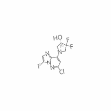 O[C@H]1CN(c2cc(Cl)nn3c(F)cnc23)CC1(F)F